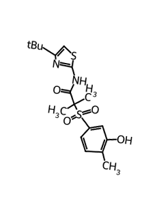 Cc1ccc(S(=O)(=O)C(C)(C)C(=O)Nc2nc(C(C)(C)C)cs2)cc1O